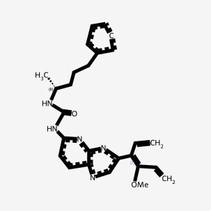 C=C/C(OC)=C(\C=C)c1cnc2ccc(NC(=O)N[C@H](C)CCCc3ccccc3)nc2n1